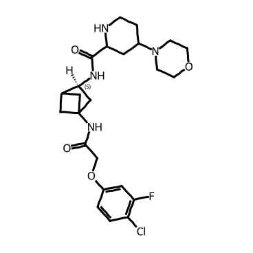 O=C(COc1ccc(Cl)c(F)c1)NC12CC(C1)[C@@H](NC(=O)C1CC(N3CCOCC3)CCN1)C2